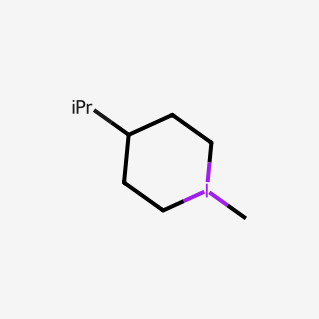 CC(C)C1CCI(C)CC1